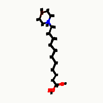 O=C(O)CCCCCCCCCCN1CCSCC1